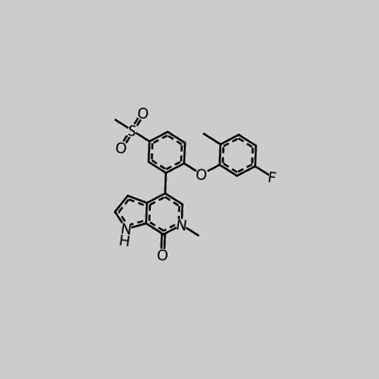 Cc1ccc(F)cc1Oc1ccc(S(C)(=O)=O)cc1-c1cn(C)c(=O)c2[nH]ccc12